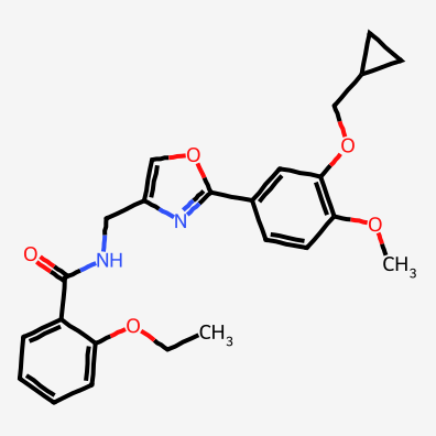 CCOc1ccccc1C(=O)NCc1coc(-c2ccc(OC)c(OCC3CC3)c2)n1